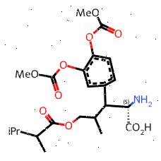 COC(=O)Oc1ccc(C(C(C)COC(=O)C(C)C(C)C)[C@H](N)C(=O)O)cc1OC(=O)OC